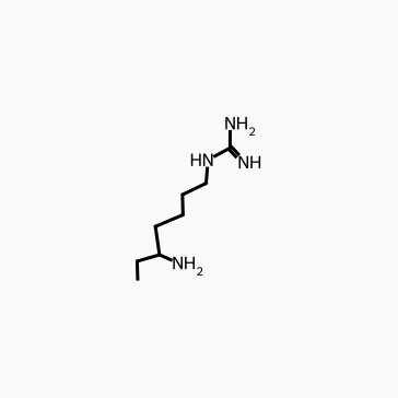 CCC(N)CCCCNC(=N)N